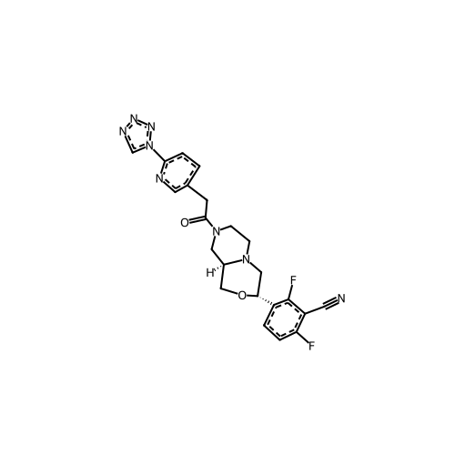 N#Cc1c(F)ccc([C@H]2CN3CCN(C(=O)Cc4ccc(-n5cnnn5)nc4)C[C@@H]3CO2)c1F